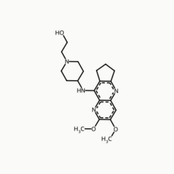 COc1cc2nc3c(c(NC4CCN(CCO)CC4)c2nc1OC)CCC3